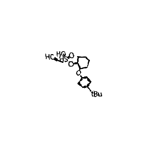 C#CC[SH](=O)(O)OC1CCCCC1Oc1ccc(C(C)(C)C)cc1